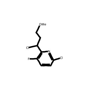 COCCC(Cl)c1nc(Cl)ccc1F